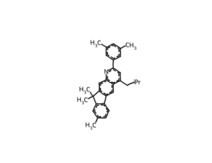 Cc1cc(C)cc(-c2cc(CC(C)C)c3cc4c(cc3n2)C(C)(C)c2cc(C)ccc2-4)c1